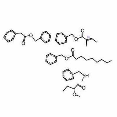 C/C=C(\C)C(=O)OCc1ccccc1.CCC([C]=O)OC.CCCCCCCCC(=O)OCc1ccccc1.C[SH](C)Cc1ccccc1.O=C(Cc1ccccc1)OCc1ccccc1